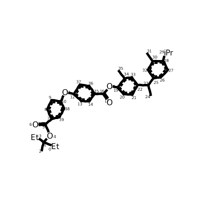 CCC(C)(CC)OC(=O)c1ccc(Oc2ccc(C(=O)Oc3ccc(C(C)c4ccc(C(C)C)c(C)c4)cc3C)cc2)cc1